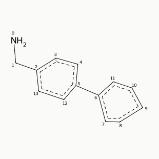 NCc1[c]cc(-c2ccccc2)cc1